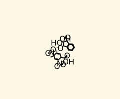 CC1([N+](=O)[O-])C=CC(C(=O)O)C([N+](=O)[O-])=C1.O=C1c2ccccc2C(=O)C1(O)O